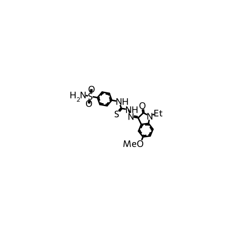 CCN1C(=O)C(=NNC(=S)Nc2ccc(S(N)(=O)=O)cc2)c2cc(OC)ccc21